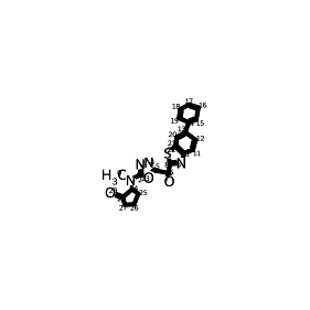 CN(c1nnc(C(=O)c2nc3ccc(-c4ccccc4)cc3s2)o1)[C@H]1CCCC1=O